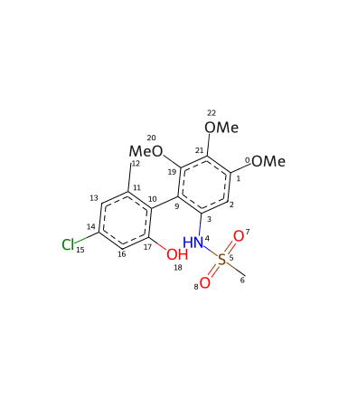 COc1cc(NS(C)(=O)=O)c(-c2c(C)cc(Cl)cc2O)c(OC)c1OC